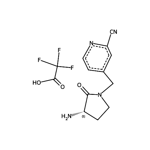 N#Cc1cc(CN2CC[C@H](N)C2=O)ccn1.O=C(O)C(F)(F)F